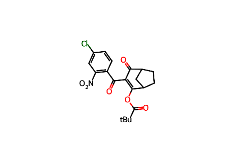 CC(C)(C)C(=O)OC1=C(C(=O)c2ccc(Cl)cc2[N+](=O)[O-])C(=O)C2CCC1C2